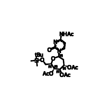 CC(=O)Nc1ccn([C@H]2C[C@H](OC(C)=O)[C@@H](OC(C)=O)[C@H](OC(C)=O)[C@@H](CO[Si](C)(C)C(C)(C)C)O2)c(=O)n1